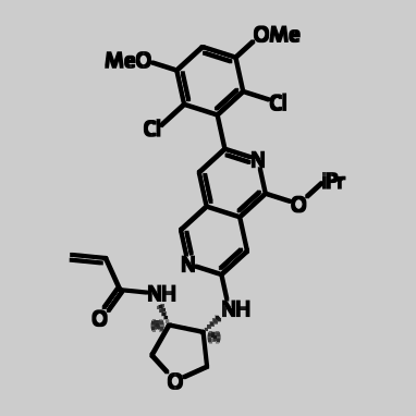 C=CC(=O)N[C@H]1COC[C@H]1Nc1cc2c(OC(C)C)nc(-c3c(Cl)c(OC)cc(OC)c3Cl)cc2cn1